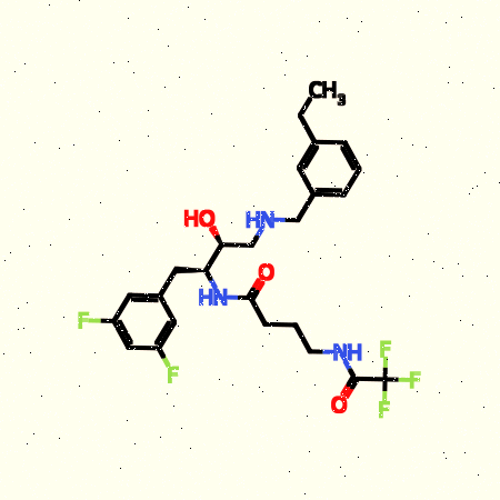 CCc1cccc(CNC[C@H](O)[C@H](Cc2cc(F)cc(F)c2)NC(=O)CCCNC(=O)C(F)(F)F)c1